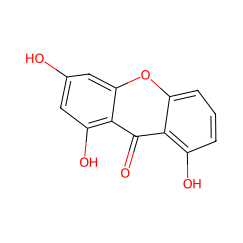 O=c1c2c(O)cccc2oc2cc(O)cc(O)c12